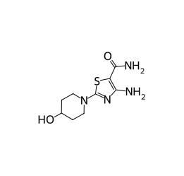 NC(=O)c1sc(N2CCC(O)CC2)nc1N